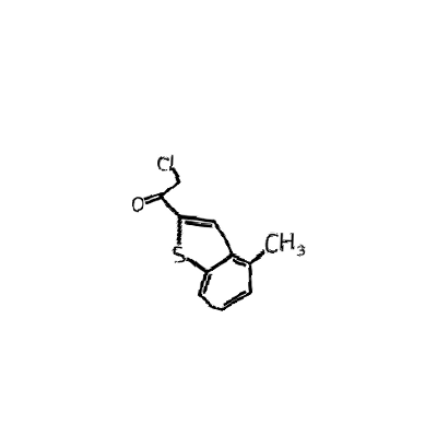 Cc1cccc2sc(C(=O)CCl)cc12